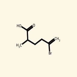 C=C(Br)CCC(C)C(=O)O